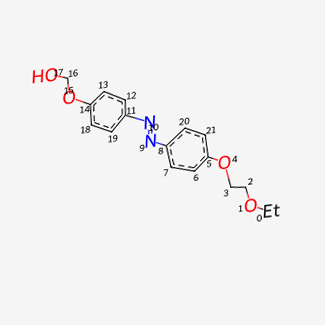 CCOCCOc1ccc(N=Nc2ccc(OCO)cc2)cc1